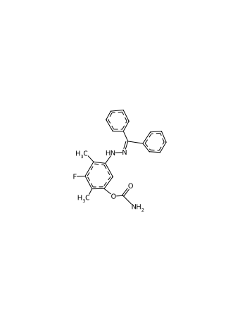 Cc1c(NN=C(c2ccccc2)c2ccccc2)cc(OC(N)=O)c(C)c1F